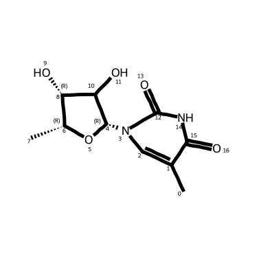 Cc1cn([C@@H]2O[C@H](C)[C@H](O)C2O)c(=O)[nH]c1=O